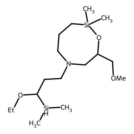 CCOC(CCN1CCC[Si](C)(C)OC(COC)C1)[SiH](C)C